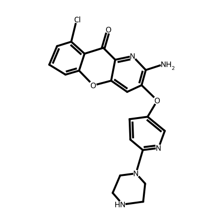 Nc1nc2c(=O)c3c(Cl)cccc3oc2cc1Oc1ccc(N2CCNCC2)nc1